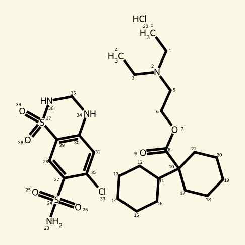 CCN(CC)CCOC(=O)C1(C2CCCCC2)CCCCC1.Cl.NS(=O)(=O)c1cc2c(cc1Cl)NCNS2(=O)=O